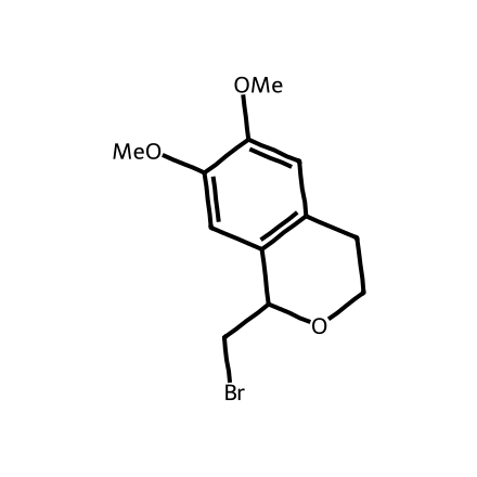 COc1cc2c(cc1OC)C(CBr)OCC2